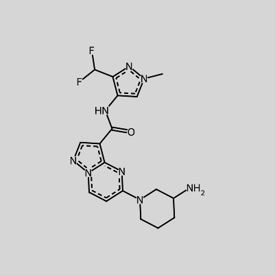 Cn1cc(NC(=O)c2cnn3ccc(N4CCCC(N)C4)nc23)c(C(F)F)n1